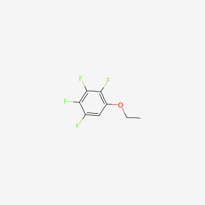 CCOc1cc(F)c(F)c(F)c1F